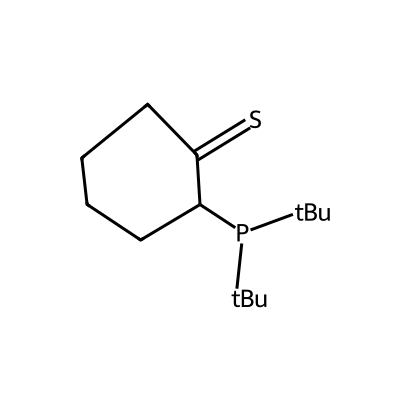 CC(C)(C)P(C1CCCCC1=S)C(C)(C)C